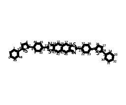 c1ccc(-c2ccc(-c3ccc(-c4nc5cc6cc7sc(-c8ccc(-c9ccc(-c%10ccccc%10)s9)cc8)nc7cc6cc5s4)cc3)s2)cc1